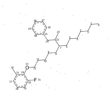 CCCCCCCC(CCCCCOc1c(C)cccc1F)C(C)Cc1ccccc1